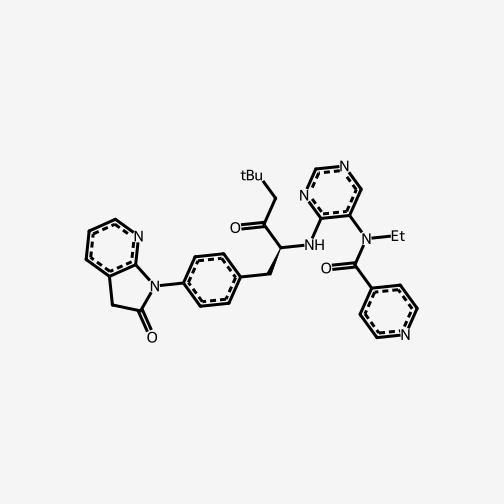 CCN(C(=O)c1ccncc1)c1cncnc1N[C@@H](Cc1ccc(N2C(=O)Cc3cccnc32)cc1)C(=O)CC(C)(C)C